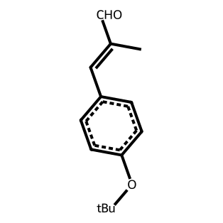 CC(C=O)=Cc1ccc(OC(C)(C)C)cc1